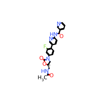 CC(=O)NC[C@@H]1CN(c2ccc(-c3ccc(NC(=O)c4cccnc4)nc3)c(F)c2)C(=O)O1